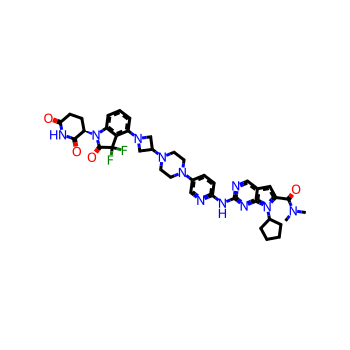 CN(C)C(=O)c1cc2cnc(Nc3ccc(N4CCN(C5CN(c6cccc7c6C(F)(F)C(=O)N7[C@@H]6CCC(=O)NC6=O)C5)CC4)cn3)nc2n1C1CCCC1